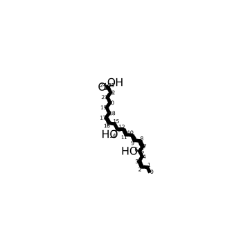 CC/C=C\C[C@H](O)\C=C/C=C/C=C/[C@H](O)C/C=C\CCCCCC(=O)O